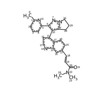 Cc1cccc(-c2nn3c(c2-c2ccnc4cc(C=CC(=O)N(C)C)ccc24)CCC3)n1